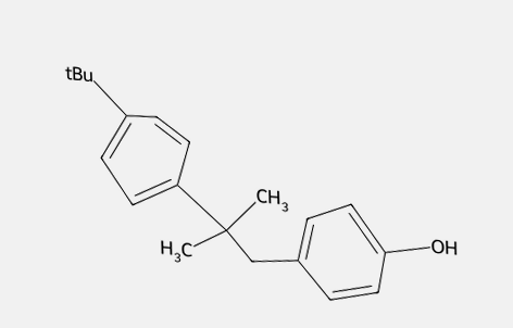 CC(C)(C)c1ccc(C(C)(C)Cc2ccc(O)cc2)cc1